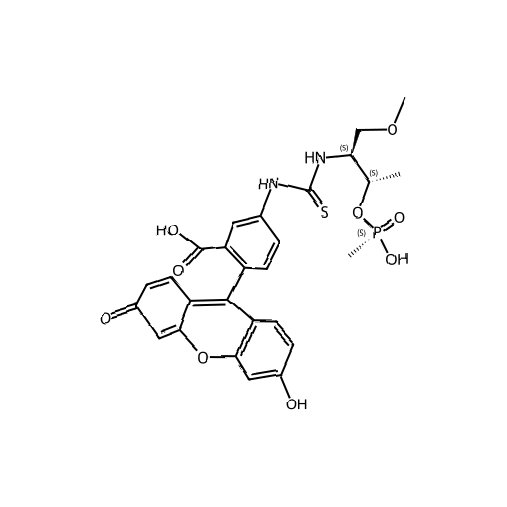 COC[C@H](NC(=S)Nc1ccc(-c2c3ccc(=O)cc-3oc3cc(O)ccc23)c(C(=O)O)c1)[C@H](C)O[P@@](C)(=O)O